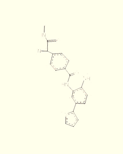 CNC(=O)C(N)c1ccc(C(=O)Nc2cc(-c3cccs3)ccc2N)cc1